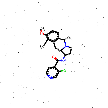 COc1ccc(C(C)N2CCC(NC(=O)c3ccncc3Cl)C2)c(C)c1C